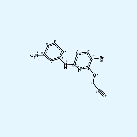 C#CCOc1nc(Nc2cccc([N+](=O)[O-])c2)ncc1Br